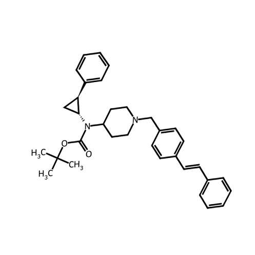 CC(C)(C)OC(=O)N(C1CCN(Cc2ccc(/C=C/c3ccccc3)cc2)CC1)[C@@H]1C[C@H]1c1ccccc1